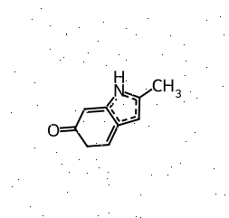 Cc1cc2c([nH]1)=CC(=O)CC=2